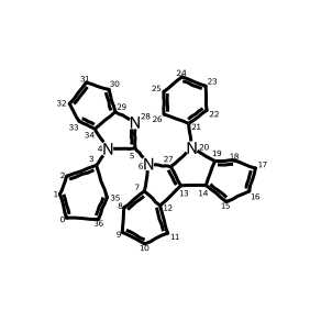 c1ccc(-n2c(-n3c4ccccc4c4c5ccccc5n(-c5ccccc5)c43)nc3ccccc32)cc1